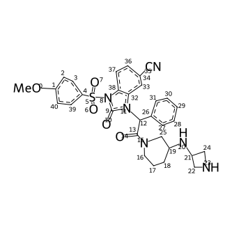 COc1ccc(S(=O)(=O)n2c(=O)n(C(C(=O)N3CCCC(NC4CNC4)C3)c3ccccc3)c3cc(C#N)ccc32)cc1